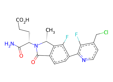 C[C@@H]1c2c(ccc(-c3nccc(CCl)c3F)c2F)C(=O)N1[C@@H](CCC(=O)O)C(N)=O